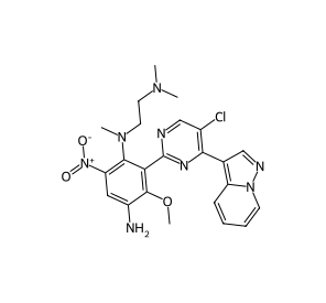 COc1c(N)cc([N+](=O)[O-])c(N(C)CCN(C)C)c1-c1ncc(Cl)c(-c2cnn3ccccc23)n1